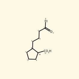 CCC(=O)CCCC1CCCC1C(=O)O